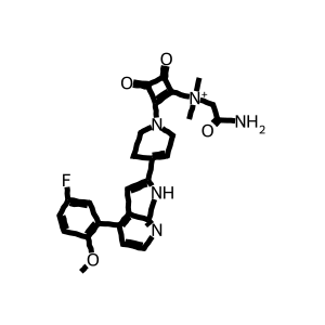 COc1ccc(F)cc1-c1ccnc2[nH]c(C3=CCN(c4c([N+](C)(C)CC(N)=O)c(=O)c4=O)CC3)cc12